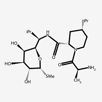 CCC[C@@H]1CCN(C(=O)[C@H](C)N)[C@H](C(=O)N[C@H](C(C)C)[C@H]2O[C@H](SC)[C@H](O)[C@@H](O)[C@H]2O)C1